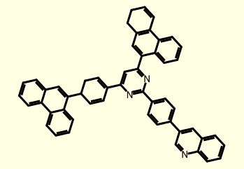 C1=Cc2c(cc(-c3cc(C4=CCC(c5cc6ccccc6c6ccccc56)C=C4)nc(-c4ccc(-c5cnc6ccccc6c5)cc4)n3)c3ccccc23)CC1